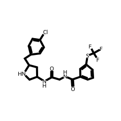 O=C(CNC(=O)c1cccc(SC(F)(F)F)c1)NC1CNC(Cc2ccc(Cl)cc2)C1